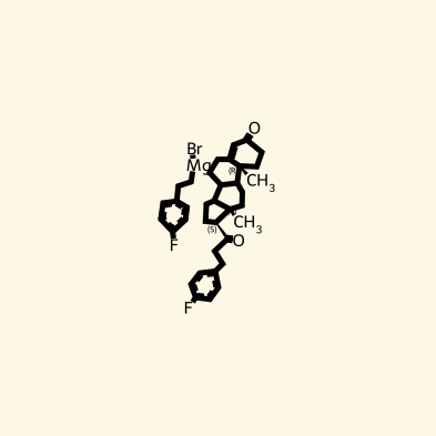 C[C@]12CCC(=O)C=C1CCC1C2CC[C@@]2(C)C1CC[C@@H]2C(=O)CCc1ccc(F)cc1.Fc1ccc(C[CH2][Mg][Br])cc1